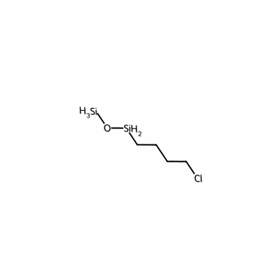 [SiH3]O[SiH2]CCCCCl